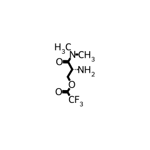 CN(C)C(=O)[C@H](N)COC(=O)C(F)(F)F